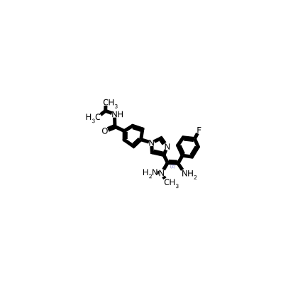 CC(C)NC(=O)c1ccc(-n2cnc(/C(=C(/N)c3ccc(F)cc3)N(C)N)c2)cc1